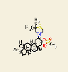 CC(=O)[C@H]1CC[C@H]2[C@@H]3CC[C@H]4C[C@H](OS(C)(=O)=O)[C@@H](N5CCSC(C)(C)C5)C[C@]4(C)[C@H]3CC[C@]12C